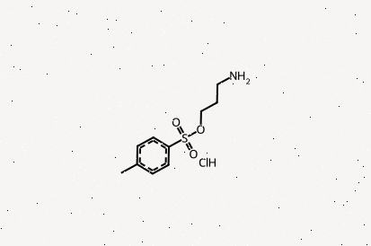 Cc1ccc(S(=O)(=O)OCCCN)cc1.Cl